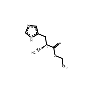 CCOC(=O)[C@@H](N)Cc1cnc[nH]1.Cl